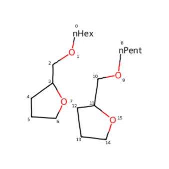 CCCCCCOCC1CCCO1.CCCCCOCC1CCCO1